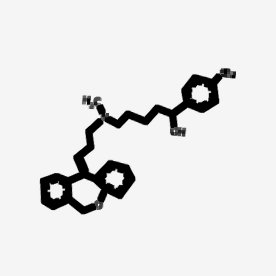 CN(CCC=C1c2ccccc2COc2ccccc21)CCCCC(O)c1ccc(C(C)(C)C)cc1